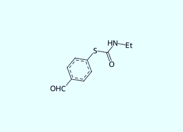 CCNC(=O)Sc1ccc(C=O)cc1